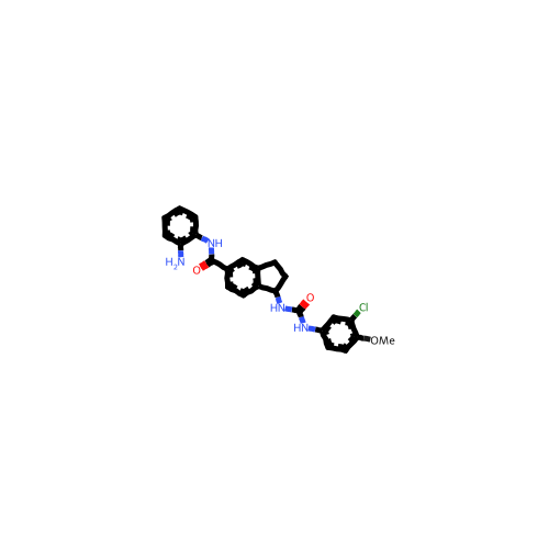 COc1ccc(NC(=O)NC2CCc3cc(C(=O)Nc4ccccc4N)ccc32)cc1Cl